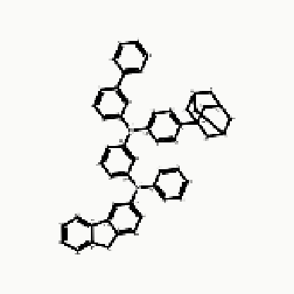 c1ccc(-c2cccc(N(c3ccc(C45CC6CC(CC(C6)C4)C5)cc3)c3cccc(N(c4ccccc4)c4ccc5c(c4)-c4ccccc4C5)c3)c2)cc1